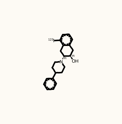 O[C@@H]1Cc2cccc([123I])c2C[C@H]1N1CCC(c2ccccc2)CC1